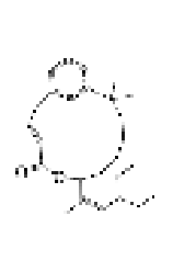 CCC(/C=C(/C)[C@@H]1CCCCC(C)(C)c2cccc(c2)C/C=C/C(=O)O1)CC